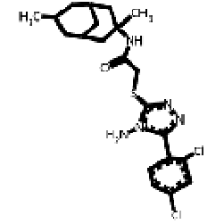 CC1CC2CC(C1)CC(C)(NC(=O)CSc1nnc(-c3ccc(Cl)cc3Cl)n1N)C2